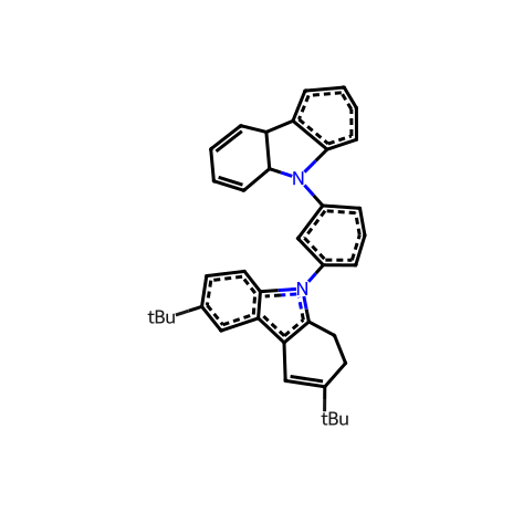 CC(C)(C)C1=Cc2c(n(-c3cccc(N4c5ccccc5C5C=CC=CC54)c3)c3ccc(C(C)(C)C)cc23)CC1